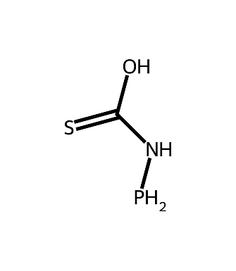 OC(=S)NP